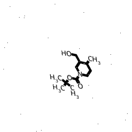 CC1CCN(C(=O)OC(C)(C)C)CC1CO